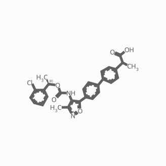 Cc1noc(-c2ccc(-c3ccc(C(C)C(=O)O)cc3)cc2)c1NC(=O)O[C@H](C)c1ccccc1Cl